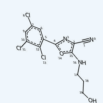 N#Cc1nc(-c2cc(Cl)cc(Cl)c2Cl)oc1NCCCO